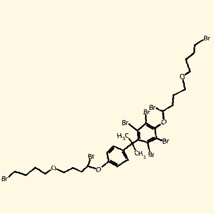 CC(C)(c1ccc(OC(Br)CCCOCCCCBr)cc1)c1c(Br)c(Br)c(OC(Br)CCCOCCCCBr)c(Br)c1Br